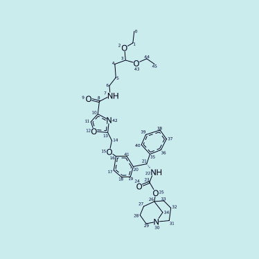 CCOC(CCCNC(=O)c1coc(COc2cccc([C@@H](NC(=O)OC34CCCN(CCC3)C4)c3ccccc3)c2)n1)OCC